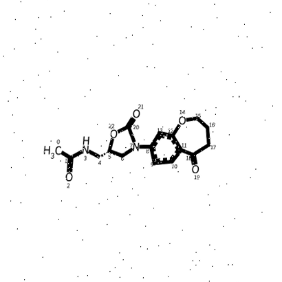 CC(=O)NC[C@H]1CN(c2ccc3c(c2)OCCCC3=O)C(=O)O1